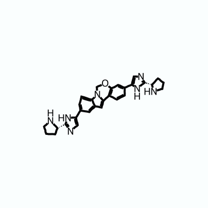 c1cc2c(cc1-c1cnc([C@@H]3CCCN3)[nH]1)OCn1c-2cc2cc(-c3cnc([C@@H]4CCCN4)[nH]3)ccc21